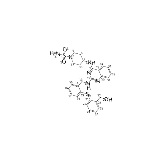 NS(=O)(=O)N1CCC(Nc2nc(NCc3ccccc3Sc3ccccc3CO)nc3ccccc23)CC1